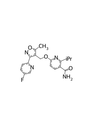 Cc1onc(-c2ccc(F)cn2)c1COc1ccc(C(N)=O)c(C(C)C)n1